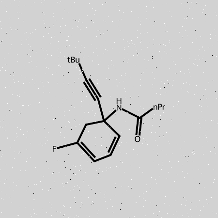 CCCC(=O)NC1(C#CC(C)(C)C)C=CC=C(F)C1